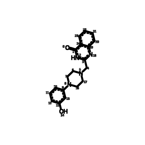 O=c1[nH]c(CN2CCN(c3cccc(O)c3)CC2)nc2ccccc12